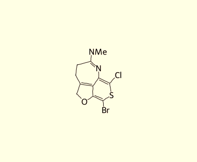 CNC1=NC2=C(Cl)SC(Br)=C3OCC(=C23)CC1